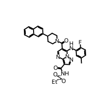 CCS(=O)(=O)NC(=O)c1cnn2c(Nc3cc(C)ccc3F)c(C(=O)N3CCC(c4ccc5ccccc5c4)CC3)cnc12